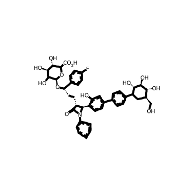 O=C(O)C1O[C@@H](O[C@@H](CC[C@H]2C(=O)N(c3ccccc3)[C@@H]2c2ccc(-c3ccc(C4C[C@H](CO)[C@@H](O)[C@H](O)[C@H]4O)cc3)cc2O)c2ccc(F)cc2)C(O)[C@@H](O)[C@@H]1O